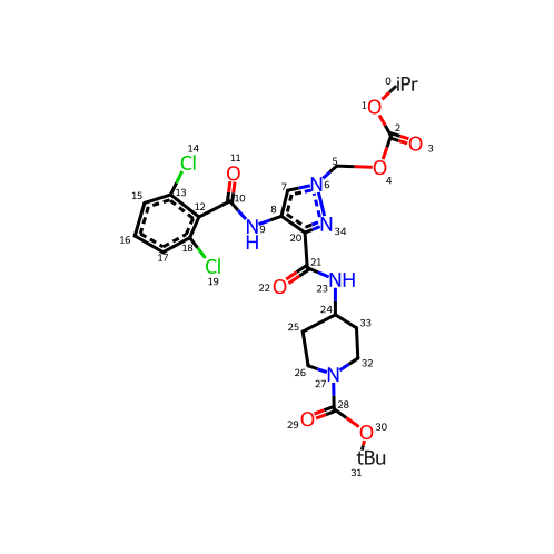 CC(C)OC(=O)OCn1cc(NC(=O)c2c(Cl)cccc2Cl)c(C(=O)NC2CCN(C(=O)OC(C)(C)C)CC2)n1